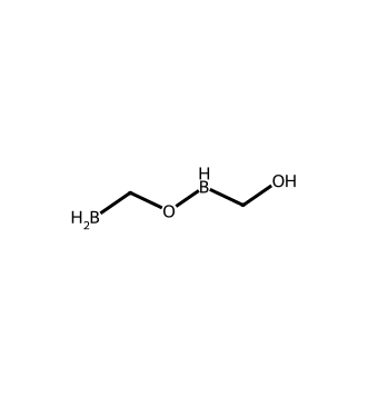 BCOBCO